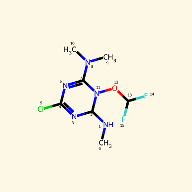 CNC1N=C(Cl)N=C(N(C)C)N1OC(F)F